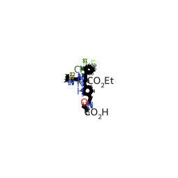 CCOC(=O)C1=C(C2CCC(Cc3nc(C(=O)O)co3)CC2)NC(c2nccs2)=NC1c1ccc(F)c(F)c1Cl